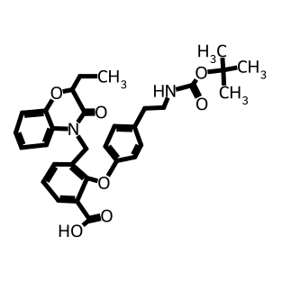 CCC1Oc2ccccc2N(Cc2cccc(C(=O)O)c2Oc2ccc(CCNC(=O)OC(C)(C)C)cc2)C1=O